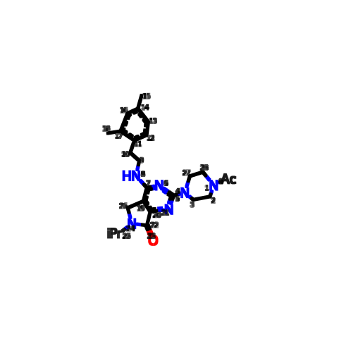 CC(=O)N1CCN(c2nc(NCCc3ccc(C)cc3C)c3c(n2)C(=O)N(C(C)C)C3)CC1